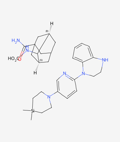 C[Si]1(C)CCN(c2ccc(N3CCNc4ccccc43)nc2)CC1.NC(=O)C12CC3C[C@H](C1)C(NC(=O)O)[C@@H](C3)C2